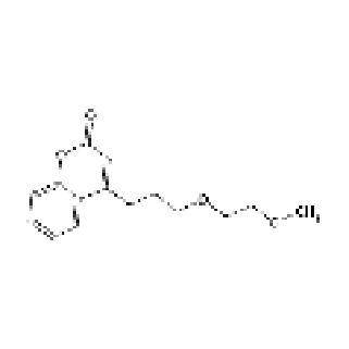 COCCOCCCc1cc(=O)oc2ccccc12